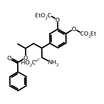 CCOC(=O)Oc1ccc(C(CC(C)OC(=O)c2ccccc2)[C@H](N)C(=O)O)cc1OC(=O)OCC